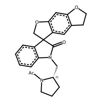 CC(=O)N1CCC[C@H]1CN1C(=O)C2(COc3cc4c(cc32)CCO4)c2ccccc21